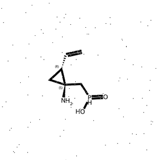 C=C[C@H]1C[C@@]1(N)C[PH](=O)O